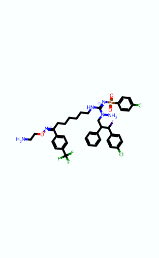 NCCO/N=C(/CCCCCCN/C(=N/S(=O)(=O)c1ccc(Cl)cc1)N(N)CC(c1ccccc1)C(I)c1ccc(Cl)cc1)c1ccc(C(F)(F)F)cc1